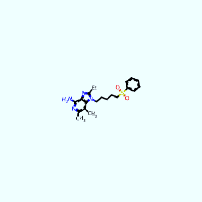 CCc1nc2c(N)nc(C)c(C)c2n1CCCCCS(=O)(=O)c1ccccc1